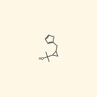 CC(C)(O)C1CC1Cc1cccs1